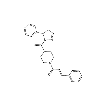 O=C(C=Cc1ccccc1)N1CCC(C(=O)N2N=CCC2c2ccccc2)CC1